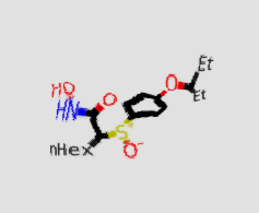 CCCCCCC(C(=O)NO)[S+]([O-])c1ccc(OC(CC)CC)cc1